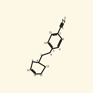 N#Cc1ccc(CCC2CC=CCC2)cc1